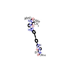 CC[C@H](NC(=O)OC)C(=O)N1CCC[C@H]1c1ncc(-c2ccc(C#Cc3ccc4nc([C@@H]5CCCN5C(=O)[C@@H](NC(=O)OC)[C@@H](C)OC)[nH]c4c3)cc2)[nH]1